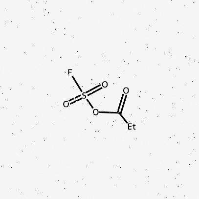 CCC(=O)OS(=O)(=O)F